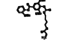 C=CC(=O)OCCCCOC(=O)Oc1c(OC)cc(C(=O)Oc2ccccc2OC)cc1OC